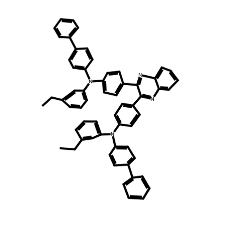 CCc1cccc(N(c2ccc(-c3ccccc3)cc2)c2ccc(-c3nc4ccccc4nc3-c3ccc(N(c4ccc(-c5ccccc5)cc4)c4cccc(CC)c4)cc3)cc2)c1